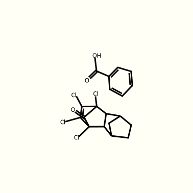 O=C(O)c1ccccc1.O=C1C2(Cl)C(Cl)=C(Cl)C1(Cl)C1C3CCC(C3)C12